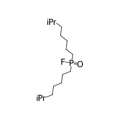 CC(C)CCCCCP(=O)(F)CCCCCC(C)C